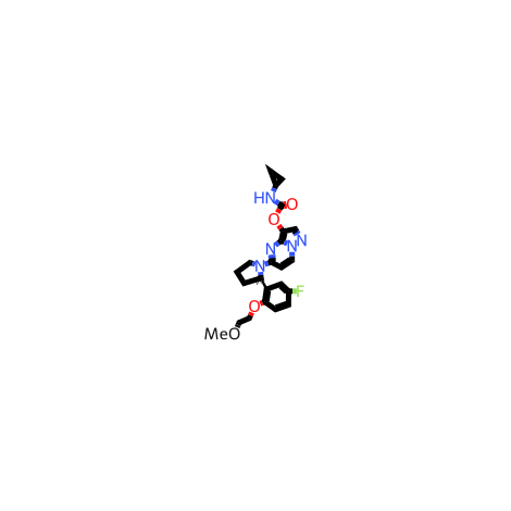 COCCOc1ccc(F)cc1[C@H]1CCCN1c1ccn2ncc(OC(=O)NC3CC3)c2n1